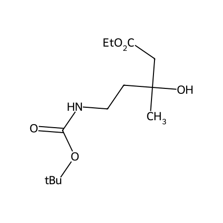 CCOC(=O)CC(C)(O)CCNC(=O)OC(C)(C)C